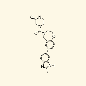 Cc1nc2ccc(-c3ccc4c(c3)CN(C(=O)N3CCN(C)C(=O)C3)CCO4)cc2[nH]1